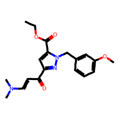 CCOC(=O)c1cc(C(=O)C=CN(C)C)nn1Cc1cccc(OC)c1